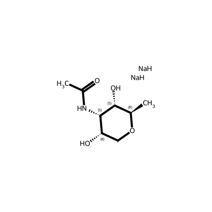 CC(=O)N[C@@H]1[C@H](O)[C@@H](C)O[CH][C@@H]1O.[NaH].[NaH]